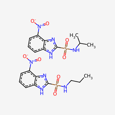 CC(C)NS(=O)(=O)c1nc2c([N+](=O)[O-])cccc2[nH]1.CCCNS(=O)(=O)c1nc2c([N+](=O)[O-])cccc2[nH]1